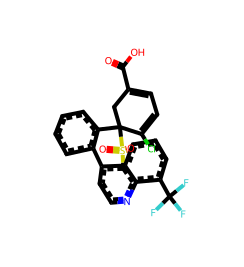 CS(=O)(=O)C1(c2ccccc2-c2ccnc3c(C(F)(F)F)cccc23)CC(C(=O)O)=CC=C1Cl